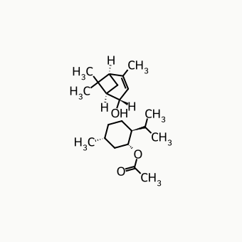 CC(=O)O[C@@H]1C[C@H](C)CC[C@H]1C(C)C.CC1=C[C@H](O)[C@@H]2C[C@H]1C2(C)C